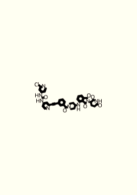 O=C1CCC(N2C(=O)c3cccc(NC4CCN(C(=O)c5cccc(C#Cc6cc(NC(=O)Nc7ccnc(Cl)c7)ccn6)c5)CC4)c3C2=O)C(=O)N1